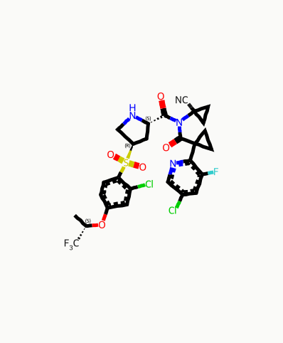 C[C@H](Oc1ccc(S(=O)(=O)[C@H]2CN[C@H](C(=O)N(C(=O)C3(c4ncc(Cl)cc4F)CC3)C3(C#N)CC3)C2)c(Cl)c1)C(F)(F)F